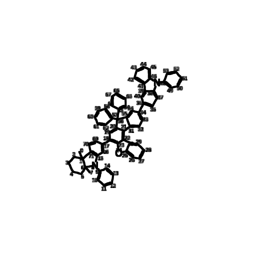 CC12CCCCC1(C)N(c1ccccc1)c1cc(-c3cc4c(c5c3oc3ccccc35)-c3ccc(-c5ccc6c(c5)c5ccccc5n6-c5ccccc5)cc3C4(c3ccccc3)c3ccccc3)ccc12